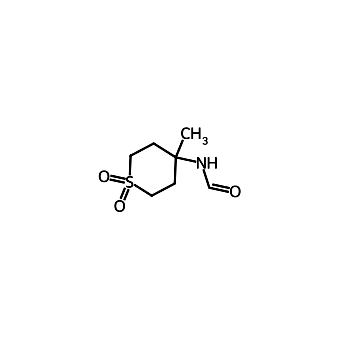 CC1(NC=O)CCS(=O)(=O)CC1